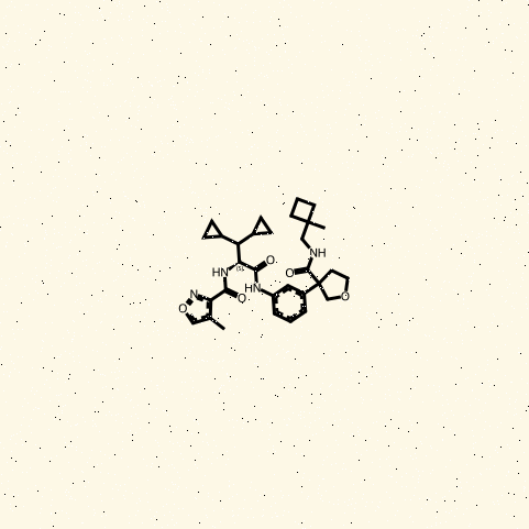 Cc1conc1C(=O)N[C@H](C(=O)Nc1cccc(C2(C(=O)NCC3(C)CCC3)CCOC2)c1)C(C1CC1)C1CC1